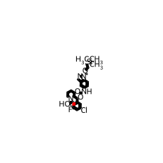 C[Si](C)(C)CCOCn1ncc2cc(NC(=O)OC(c3cc(F)cc(Cl)c3)C3CCCCN3C(=O)O)ccc21